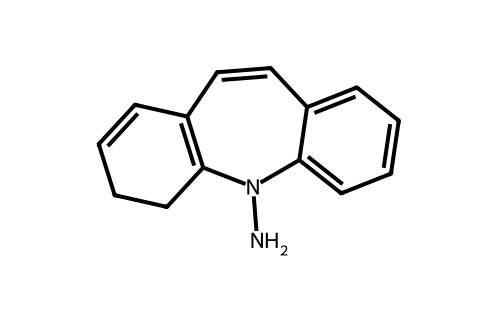 NN1C2=C(C=CCC2)C=Cc2ccccc21